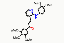 COc1ccc(Nc2ncccc2/C=C/C(=O)c2cc(OC)c(OC)c(OC)c2)cc1OC